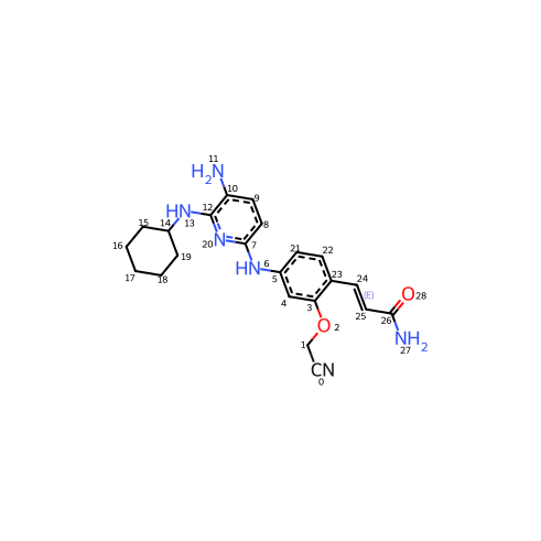 N#CCOc1cc(Nc2ccc(N)c(NC3CCCCC3)n2)ccc1/C=C/C(N)=O